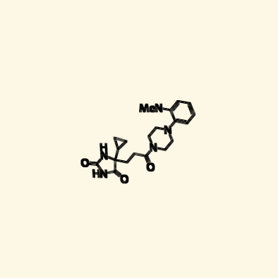 CNc1ccccc1N1CCN(C(=O)CCC2(C3CC3)NC(=O)NC2=O)CC1